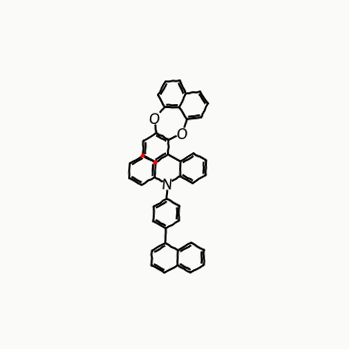 c1ccc(N(c2ccc(-c3cccc4ccccc34)cc2)c2ccccc2-c2cccc3c2Oc2cccc4cccc(c24)O3)cc1